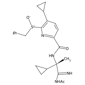 CC(=O)NC(=N)[C@@](C)(NC(=O)c1ccc(C2CC2)c([S+]([O-])CC(C)C)n1)C1CC1